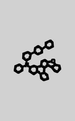 c1ccc(-c2ccc(-c3cccc(N(c4ccccc4)c4ccc5c6ccccc6c6c(ccc7oc8ccccc8c76)c5c4)c3)cc2)cc1